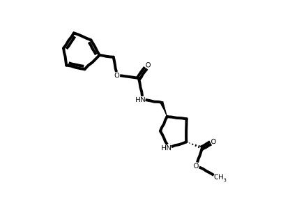 COC(=O)[C@H]1C[C@H](CNC(=O)OCc2ccccc2)CN1